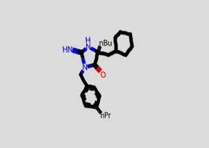 CCCCC1(CC2CCCCC2)NC(=N)N(Cc2ccc(CCC)cc2)C1=O